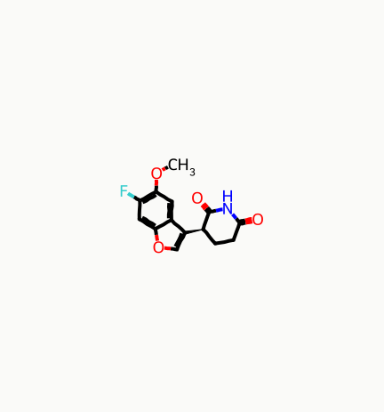 COc1cc2c([C@@H]3CCC(=O)NC3=O)coc2cc1F